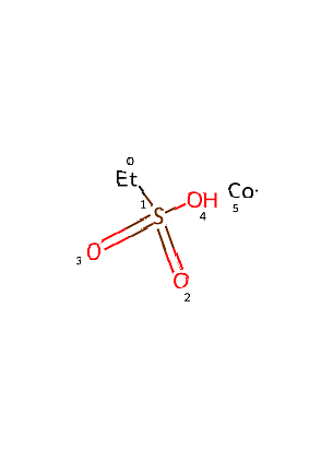 CCS(=O)(=O)O.[Co]